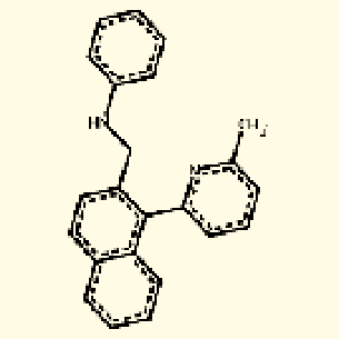 [CH2]c1cccc(-c2c(CNc3ccccc3)ccc3ccccc23)n1